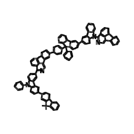 CC1(C)c2ccccc2-c2ccc(-c3ccc4c(c3)c3cc(-c5ncc6c7c(cccc57)-c5ccc(-c7ccc(C8(c9ccccc9)c9ccccc9-c9cc(-c%10ccc%11c(c%10)c%10ccccc%10n%11-c%10ncc%11c%12c(cccc%10%12)-c%10ccccc%10-%11)ccc98)cc7)cc5-6)ccc3n4-c3ccccc3)cc21